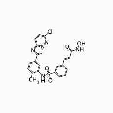 Cc1ccc(-c2cn3nc(Cl)ccc3n2)cc1NS(=O)(=O)c1cccc(C=CC(=O)NO)c1